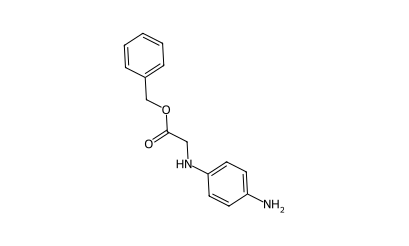 Nc1ccc(NCC(=O)OCc2ccccc2)cc1